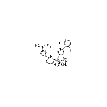 C[C@H](O)c1ccn(-c2nccc([C@@]34CC[C@@H](c5cc(-c6c(F)cccc6F)nnc53)C4(C)C)n2)n1